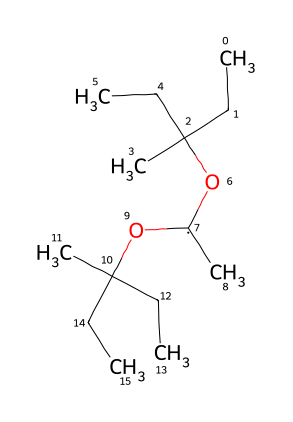 CCC(C)(CC)O[C](C)OC(C)(CC)CC